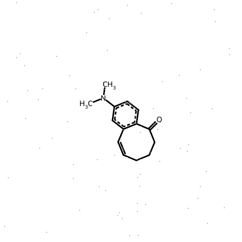 CN(C)c1ccc2c(c1)C=CCCCC2=O